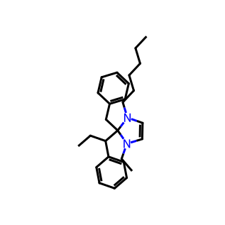 CCCCCCN1C=CN(CC)C1(Cc1ccccc1)C(CC)c1ccccc1